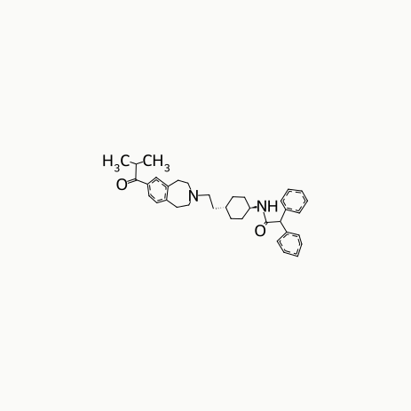 CC(C)C(=O)c1ccc2c(c1)CCN(CC[C@H]1CC[C@H](NC(=O)C(c3ccccc3)c3ccccc3)CC1)CC2